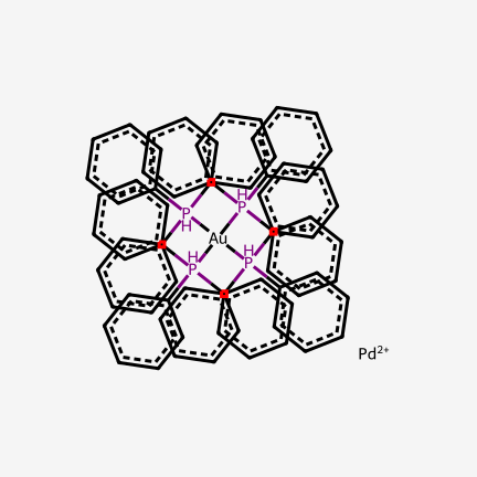 [Pd+2].c1ccc([PH](c2ccccc2)(c2ccccc2)[Au]([PH](c2ccccc2)(c2ccccc2)c2ccccc2)([PH](c2ccccc2)(c2ccccc2)c2ccccc2)[PH](c2ccccc2)(c2ccccc2)c2ccccc2)cc1